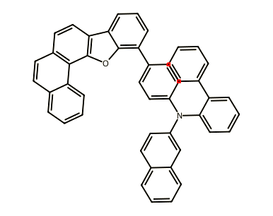 c1ccc(-c2ccccc2N(c2ccc(-c3cccc4c3oc3c4ccc4ccc5ccccc5c43)cc2)c2ccc3ccccc3c2)cc1